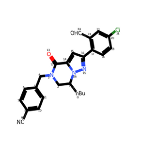 CCCCC1CN(Cc2ccc(C#N)cc2)C(=O)c2cc(-c3ccc(Cl)cc3C=O)nn21